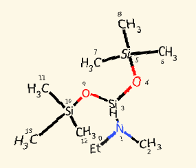 CCN(C)[SiH](O[Si](C)(C)C)O[Si](C)(C)C